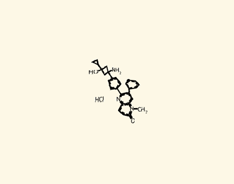 Cl.Cn1c(=O)ccc2nc(-c3ccc(C4(N)CC(O)(C5CC5)C4)cc3)c(-c3ccccc3)cc21